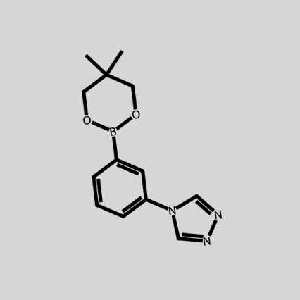 CC1(C)COB(c2cccc(-n3cnnc3)c2)OC1